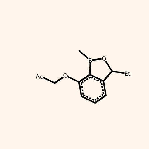 CCC1OB(C)c2c(OCC(C)=O)cccc21